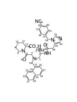 CCC(C)C(CN(CC(=O)N1CCCCC1C(=O)O)Cc1cccc2ccccc12)NC(=O)Cc1cncn1Cc1ccc(C#N)cc1